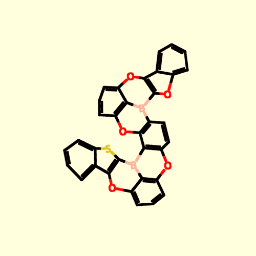 c1cc2c3c(c1)Oc1c(oc4ccccc14)B3c1ccc3c(c1O2)B1c2sc4ccccc4c2Oc2cccc(c21)O3